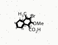 COc1c(Br)c(C)c2ccccc2c1C(=O)O